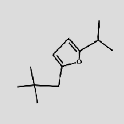 CC(C)c1ccc(CC(C)(C)C)o1